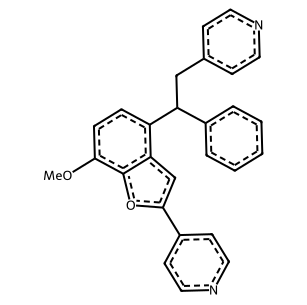 COc1ccc(C(Cc2ccncc2)c2ccccc2)c2cc(-c3ccncc3)oc12